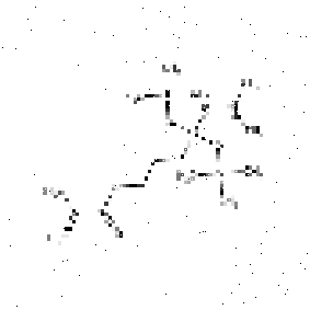 C=C(C)C(=O)OCCC[Si](O[SiH](C)C)(O[Si](C)(C)C)O[Si](C)(C)C